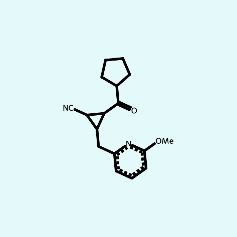 COc1cccc(CC2C(C#N)C2C(=O)C2CCCC2)n1